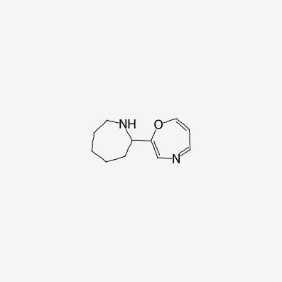 C1=COC(C2CCCCCN2)=CN=C1